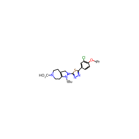 CC(C)Oc1ccc(-c2nnc(N3CC4=C(CCN(C(=O)O)CC4)N3C(C)(C)C)s2)cc1Cl